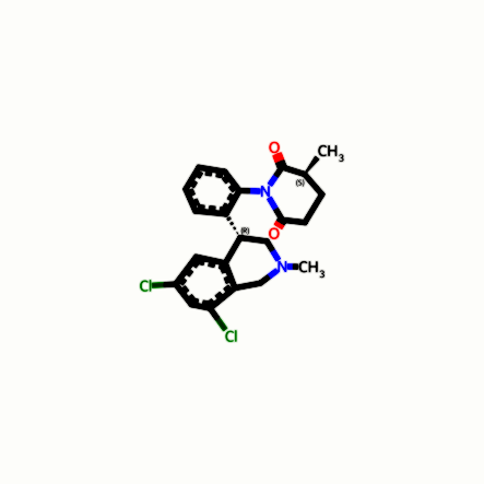 C[C@H]1CCC(=O)N(c2ccccc2[C@@H]2CN(C)Cc3c(Cl)cc(Cl)cc32)C1=O